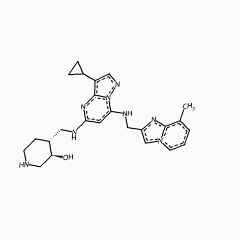 Cc1cccn2cc(CNc3cc(NC[C@H]4CCNC[C@@H]4O)nc4c(C5CC5)cnn34)nc12